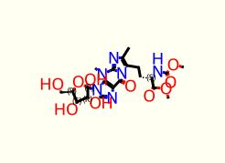 COC(=O)N[C@@H](CCc1c(C)nc2n(C)c3c(ncn3[C@]3(O)O[C@H](CO)[C@@H](O)[C@H]3O)c(=O)n12)C(=O)OC